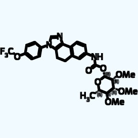 CO[C@@H]1[C@@H](OC)[C@H](C)O[C@H](OC(=O)Nc2ccc3c(c2)CCc2c-3ncn2-c2ccc(OC(F)(F)F)cc2)[C@@H]1OC